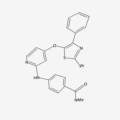 CNC(=O)c1ccc(Nc2cc(Oc3sc(C(C)C)nc3-c3ccccc3)ccn2)cc1